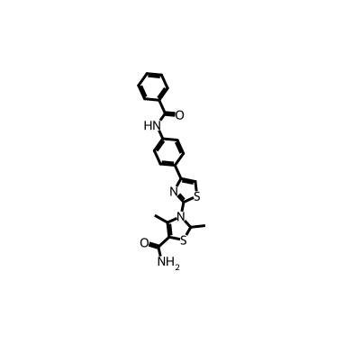 CC1=C(C(N)=O)SC(C)N1c1nc(-c2ccc(NC(=O)c3ccccc3)cc2)cs1